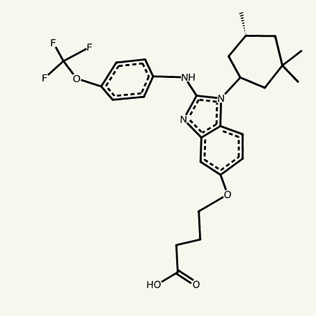 C[C@H]1CC(n2c(Nc3ccc(OC(F)(F)F)cc3)nc3cc(OCCCC(=O)O)ccc32)CC(C)(C)C1